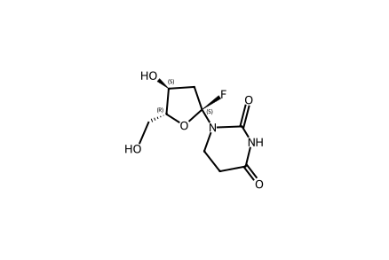 O=C1CCN([C@@]2(F)C[C@H](O)[C@@H](CO)O2)C(=O)N1